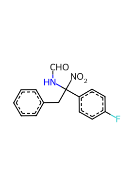 O=CNC(Cc1ccccc1)(c1ccc(F)cc1)[N+](=O)[O-]